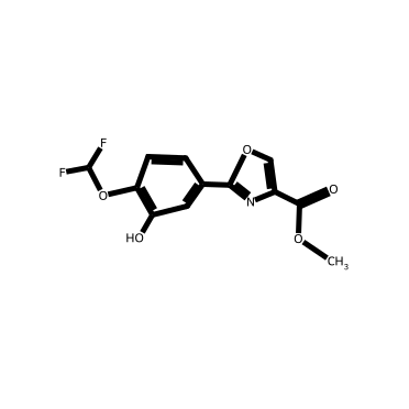 COC(=O)c1coc(-c2ccc(OC(F)F)c(O)c2)n1